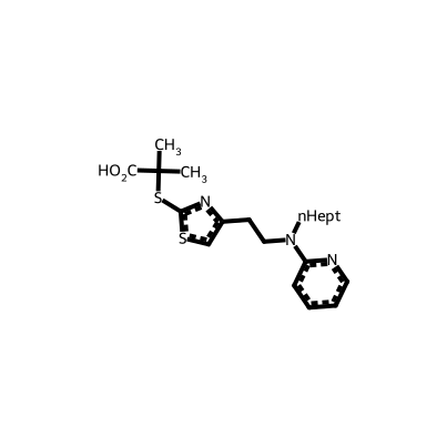 CCCCCCCN(CCc1csc(SC(C)(C)C(=O)O)n1)c1ccccn1